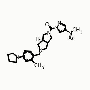 CC(=O)N(C)c1cnn(C(=O)N2CC3CN(Cc4ccc(N5CCCC5)cc4C)C[C@H]3C2)c1